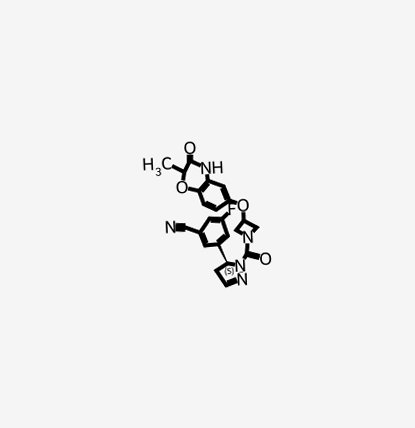 CC1Oc2ccc(OC3CN(C(=O)N4N=CC[C@H]4c4cc(F)cc(C#N)c4)C3)cc2NC1=O